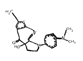 Cc1cc2c(s1)N=C1N(c3ccc(N(C)C)cc3)CCC1(O)C2=O